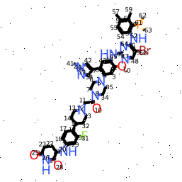 COc1cc(N2CCN(C(=O)CN3CCC(c4ccc(NC5CCC(=O)NC5=O)cc4F)CC3)CC2)c(-c2cnn(C)c2)cc1Nc1ncc(Br)c(Nc2ccc(C)c(C)c2P(C)C)n1